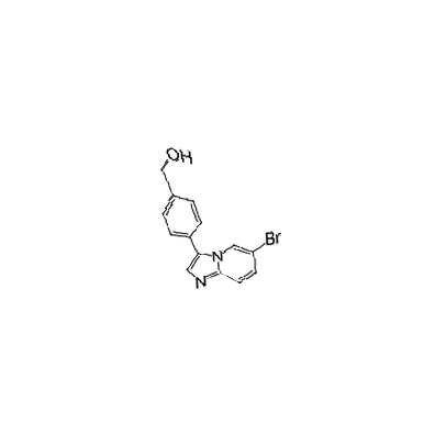 OCc1ccc(-c2cnc3ccc(Br)cn23)cc1